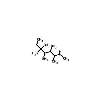 BC(C(C)NC)C(B)C(B)(B)CC